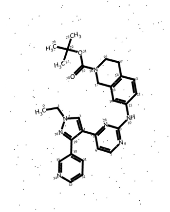 CCn1cc(-c2ccnc(Nc3ccc4c(c3)CN(C(=O)OC(C)(C)C)CC4)n2)c(-c2cccnc2)n1